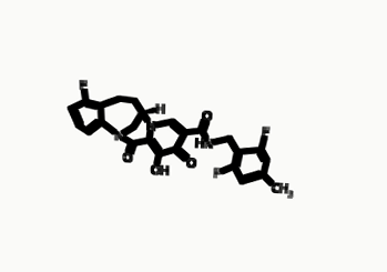 Cc1cc(F)c(CNC(=O)c2cn3c(c(O)c2=O)C(=O)N2C[C@@H]3CCc3c(F)cccc32)c(F)c1